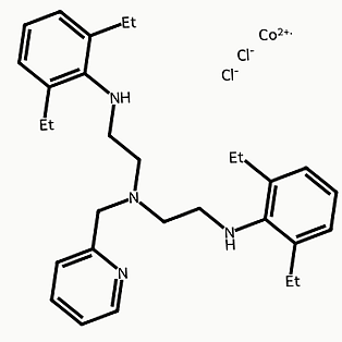 CCc1cccc(CC)c1NCCN(CCNc1c(CC)cccc1CC)Cc1ccccn1.[Cl-].[Cl-].[Co+2]